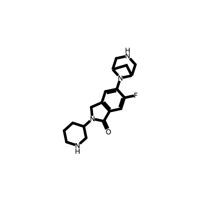 O=C1c2cc(F)c(N3C4CNCC3C4)cc2CN1C1CCCNC1